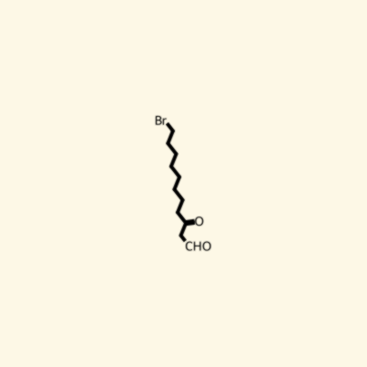 O=CCC(=O)CCCCCCCCBr